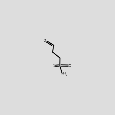 NS(=O)(=O)CC[C]=O